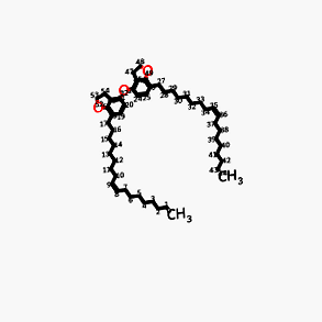 CCCCCCCC/C=C\CCCCCCCCc1ccc(Oc2ccc(CCCCCCCC/C=C\CCCCCCCC)c3c2CCO3)c2c1OCC2